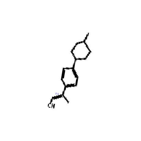 C/C(=C\C#N)c1ccc(C2CCC(C)CC2)cc1